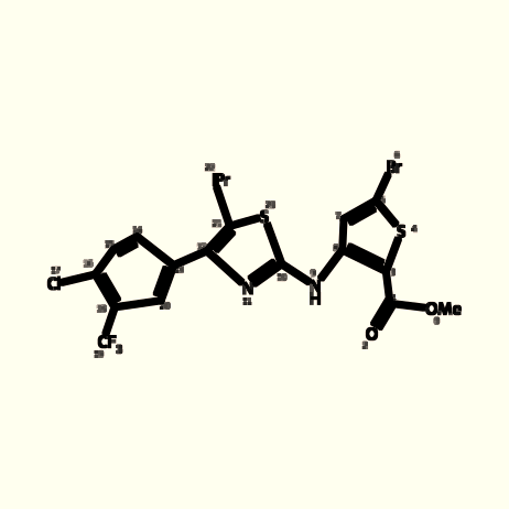 COC(=O)c1sc(Br)cc1Nc1nc(-c2ccc(Cl)c(C(F)(F)F)c2)c(C(C)C)s1